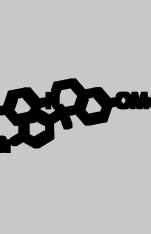 COc1ccc2c(c1)CCN(c1ccc(C)cc1)C2(C)c1ccc(Br)cc1